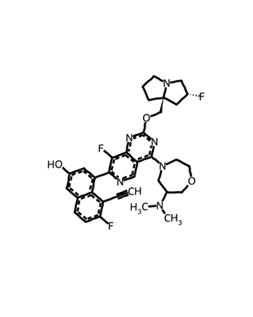 C#Cc1c(F)ccc2cc(O)cc(-c3ncc4c(N5CCOCC(N(C)C)C5)nc(OC[C@@]56CCCN5C[C@H](F)C6)nc4c3F)c12